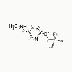 CNCc1ccc(OCC(F)(F)F)nc1